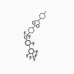 CC1CCC(C2COC(C3CCC(C(F)(F)Oc4ccc(-c5cc(F)c(C(F)(F)F)c(F)c5)c(F)c4)CC3)OC2)CC1